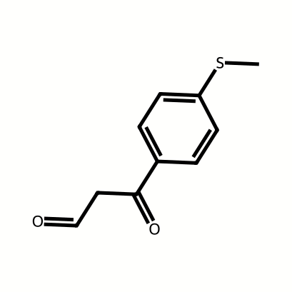 CSc1ccc(C(=O)CC=O)cc1